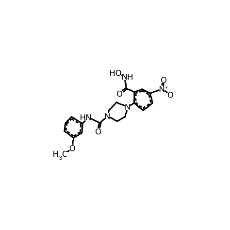 COc1cccc(NC(=O)N2CCN(c3ccc([N+](=O)[O-])cc3C(=O)NO)CC2)c1